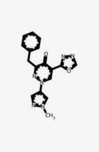 Cn1cc(-n2cc(-c3nnco3)c(=O)c(Cc3ccccc3)n2)cn1